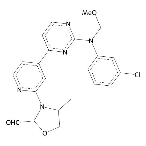 COCN(c1cccc(Cl)c1)c1nccc(-c2ccnc(N3C(C)COC3C=O)c2)n1